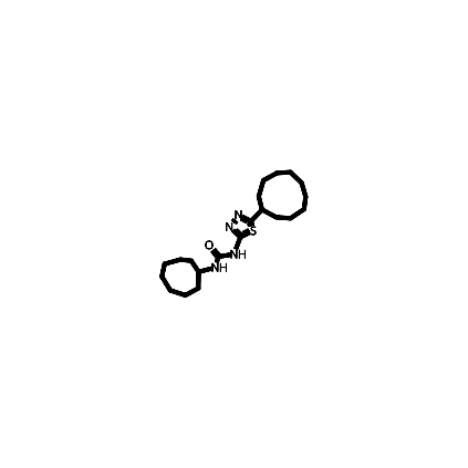 O=C(Nc1nnc(C2CCCCCCCCC2)s1)NC1CCCCCCC1